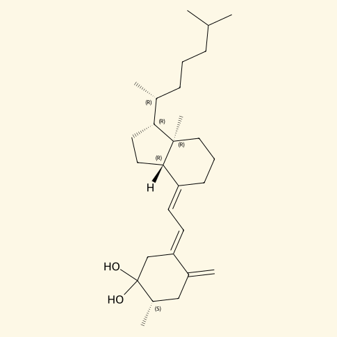 C=C1C[C@H](C)C(O)(O)CC1=CC=C1CCC[C@]2(C)[C@@H]([C@H](C)CCCC(C)C)CC[C@@H]12